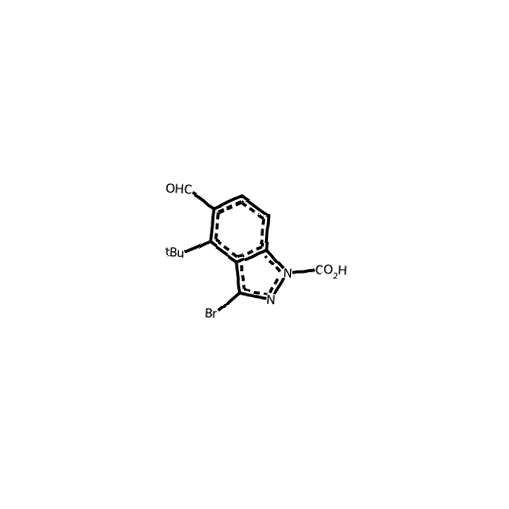 CC(C)(C)c1c(C=O)ccc2c1c(Br)nn2C(=O)O